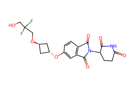 O=C1CCC(N2C(=O)c3ccc(O[C@H]4C[C@H](OCC(F)(F)CO)C4)cc3C2=O)C(=O)N1